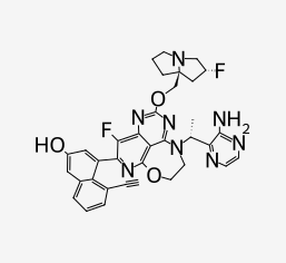 C#Cc1cccc2cc(O)cc(-c3nc4c5c(nc(OC[C@@]67CCCN6C[C@H](F)C7)nc5c3F)N([C@H](C)c3nccnc3N)CCO4)c12